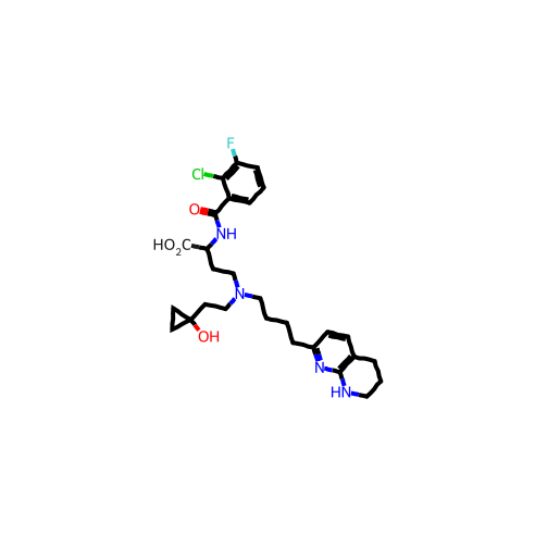 O=C(NC(CCN(CCCCc1ccc2c(n1)NCCC2)CCC1(O)CC1)C(=O)O)c1cccc(F)c1Cl